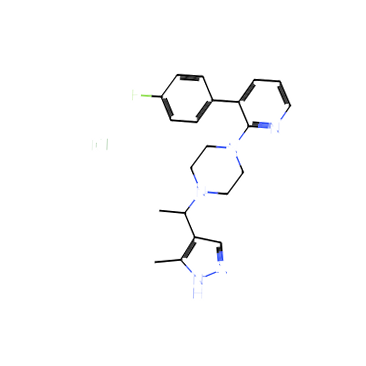 Cc1[nH]ncc1C(C)N1CCN(c2ncccc2-c2ccc(F)cc2)CC1.Cl